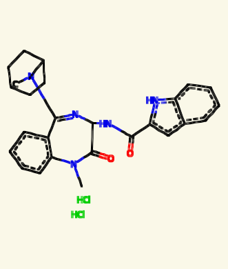 CN1C(=O)C(NC(=O)c2cc3ccccc3[nH]2)N=C(N2CC3CCC(CC3)C2)c2ccccc21.Cl.Cl